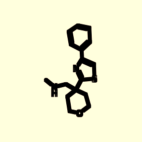 CNCC1(c2nc(-c3ccccc3)cs2)CCOCC1